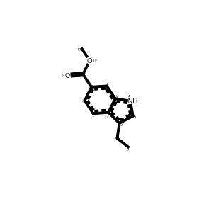 CCc1c[nH]c2cc(C(=O)OC)ccc12